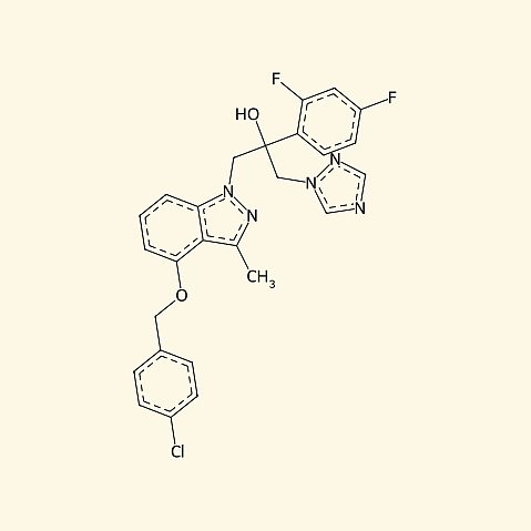 Cc1nn(CC(O)(Cn2cncn2)c2ccc(F)cc2F)c2cccc(OCc3ccc(Cl)cc3)c12